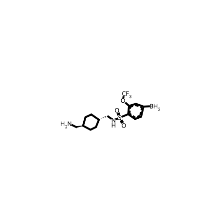 Bc1ccc(S(=O)(=O)NC[C@H]2CC[C@H](CN)CC2)c(OC(F)(F)F)c1